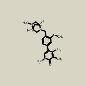 COc1cc(-c2cn(C)c(=O)c(C)c2C)ccc1CN1C[C@@H]2C[C@H]1CN2C